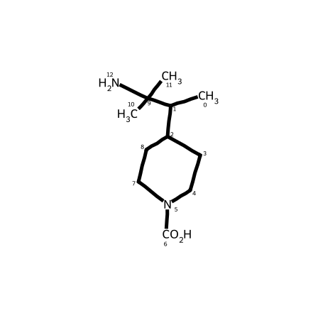 CC(C1CCN(C(=O)O)CC1)C(C)(C)N